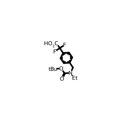 CCN(Cc1ccc(C(F)(F)C(=O)O)cc1)C(=O)OC(C)(C)C